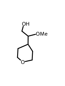 COC(CO)C1CCOCC1